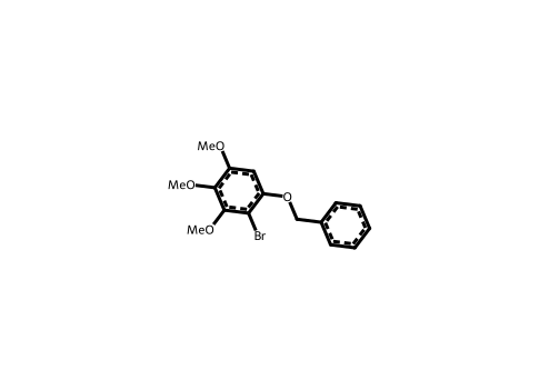 COc1cc(OCc2ccccc2)c(Br)c(OC)c1OC